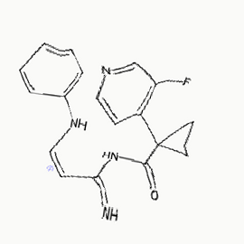 N=C(/C=C\Nc1ccccc1)NC(=O)C1(c2ccncc2F)CC1